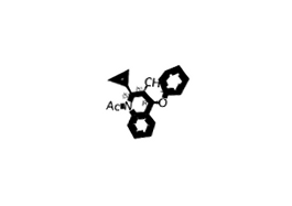 CC(=O)N1c2ccccc2[C@H](Oc2ccccc2)[C@@H](C)[C@@H]1C1CC1